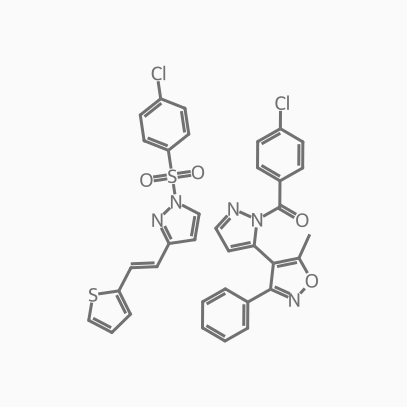 Cc1onc(-c2ccccc2)c1-c1ccnn1C(=O)c1ccc(Cl)cc1.O=S(=O)(c1ccc(Cl)cc1)n1ccc(C=Cc2cccs2)n1